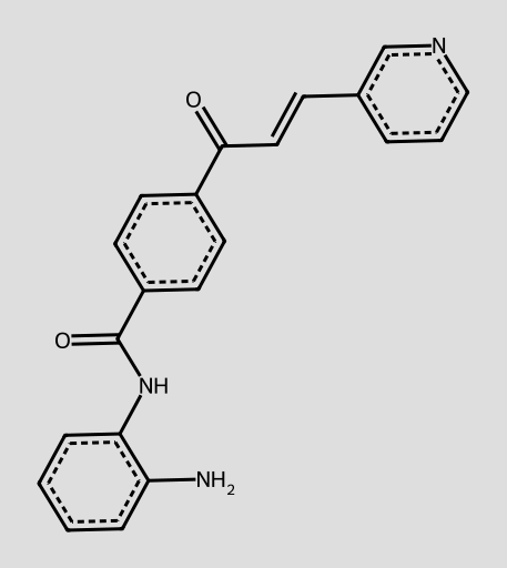 Nc1ccccc1NC(=O)c1ccc(C(=O)C=Cc2cccnc2)cc1